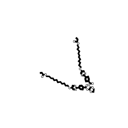 C=CC(=O)OCCCCCCCCCCCCOc1cnc(-c2ccc(C(=O)O[C@@H]3OCCO[C@H]3OC(=O)c3ccc(-c4ncc(OCCCCCCCCCCCCOC(=O)C=C)cn4)cc3)cc2)nc1